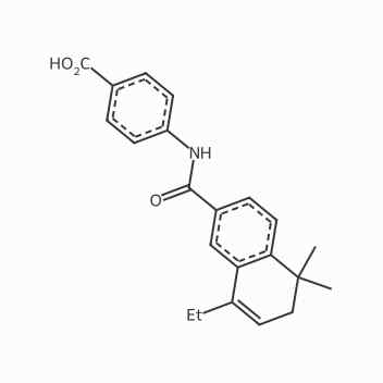 CCC1=CCC(C)(C)c2ccc(C(=O)Nc3ccc(C(=O)O)cc3)cc21